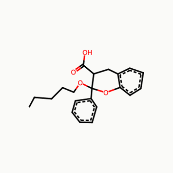 CCCCCOC1(c2ccccc2)Oc2ccccc2CC1C(=O)O